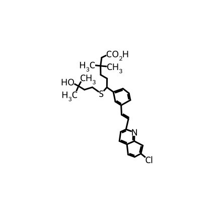 CC(C)(O)CCSC(CCC(C)(C)CC(=O)O)c1cccc(/C=C/c2ccc3ccc(Cl)cc3n2)c1